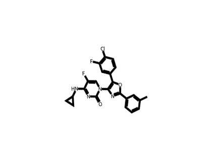 Cc1cccc(-c2nc(-n3cc(F)c(NC4CC4)nc3=O)c(-c3ccc(Cl)c(F)c3)o2)c1